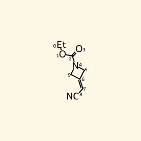 CCOC(=O)N1CC(=CC#N)C1